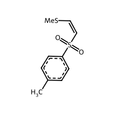 CS/C=C\S(=O)(=O)c1ccc(C)cc1